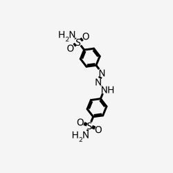 NS(=O)(=O)c1ccc(N=NNc2ccc(S(N)(=O)=O)cc2)cc1